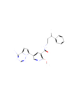 COc1ncc(-c2ccc3c(N)ncnn23)cc1C(=O)NCCC(C)c1ccccc1